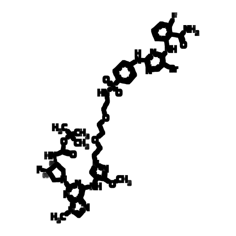 COc1nn(CCOCCOCCNS(=O)(=O)c2ccc(Nc3ncc(Br)c(Nc4cccc(F)c4C(N)=O)n3)cc2)cc1Nc1nc(N2C[C@@H](F)[C@H](NC(=O)OC(C)(C)C)C2)nc2c1ncn2C